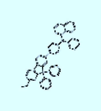 CCc1ccc2c(c1)C(c1ccccc1)(c1ccccc1)c1cc(-c3ccc(N(c4ccccc4)c4cccc5ccccc45)cc3)ccc1-2